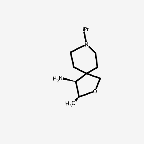 CC(C)N1CCC2(CC1)CO[C@@H](C)[C@H]2N